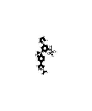 CC(C)n1cc(-c2ccc3c(c2)ncn3-c2cc(NS(C)(=O)=O)cc(-n3cccc3)c2)cn1